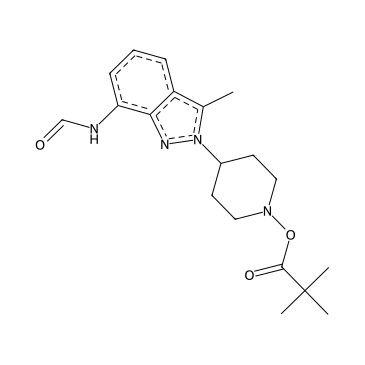 Cc1c2cccc(NC=O)c2nn1C1CCN(OC(=O)C(C)(C)C)CC1